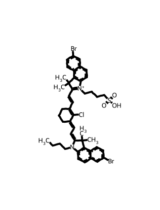 CCCCN1/C(=C/C=C2\CCCC(/C=C/C3=[N+](CCCCS(=O)(=O)O)c4ccc5cc(Br)ccc5c4C3(C)C)=C2Cl)C(C)(C)c2c1ccc1cc(Br)ccc21